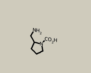 NCC1CCCN1C(=O)O